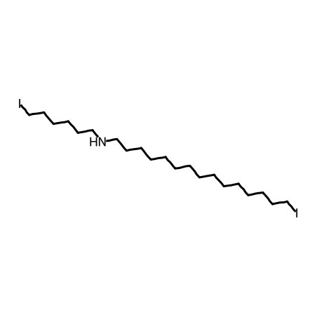 ICCCCCCCCCCCCCCCNCCCCCCI